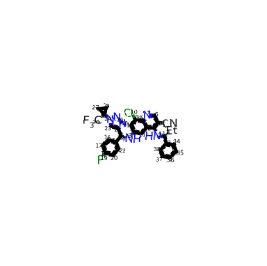 CC[C@@H](Nc1c(C#N)cnc2c(Cl)cc(N[C@@H](c3ccc(F)cc3)c3cn(C4(C(F)(F)F)CC4)nn3)cc12)c1ccccc1